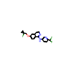 FC(F)c1ccc(Nc2nccc3cc(OCC4(F)CC4)ccc23)cn1